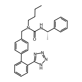 CCCCN(Cc1ccc(-c2ccccc2-c2nnn[nH]2)cc1)C(=O)N[C@@H](C)c1ccccc1